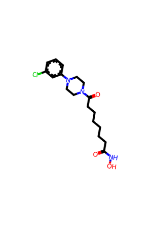 O=C(CCCCCCC(=O)N1CCN(c2cccc(Cl)c2)CC1)NO